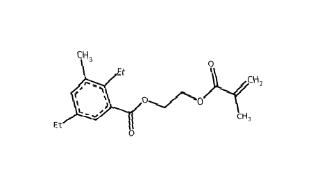 C=C(C)C(=O)OCCOC(=O)c1cc(CC)cc(C)c1CC